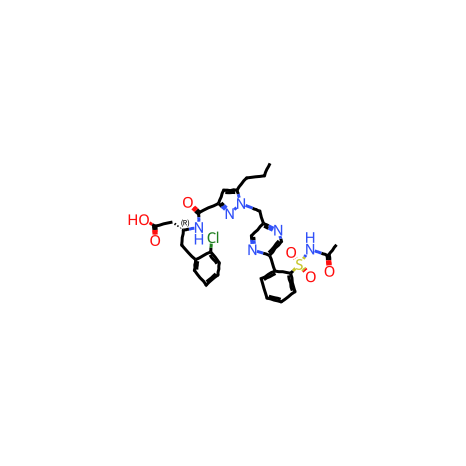 CCCc1cc(C(=O)N[C@@H](CC(=O)O)Cc2ccccc2Cl)nn1Cc1cnc(-c2ccccc2S(=O)(=O)NC(C)=O)cn1